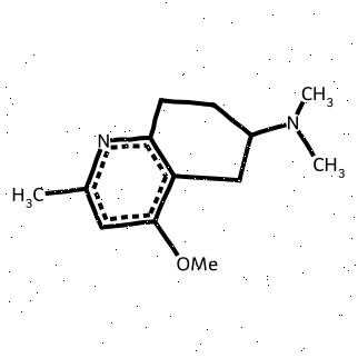 COc1cc(C)nc2c1CC(N(C)C)CC2